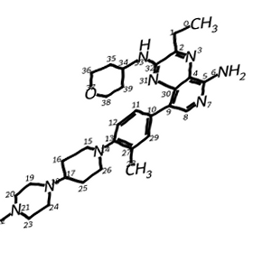 CCc1nc2c(N)ncc(-c3ccc(N4CCC(N5CCN(C)CC5)CC4)c(C)c3)c2nc1NC1CCOCC1